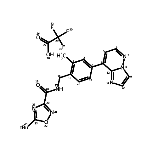 Cc1cc(-c2ccnn3ccnc23)ccc1CNC(=O)c1noc(C(C)(C)C)n1.O=C(O)C(F)(F)F